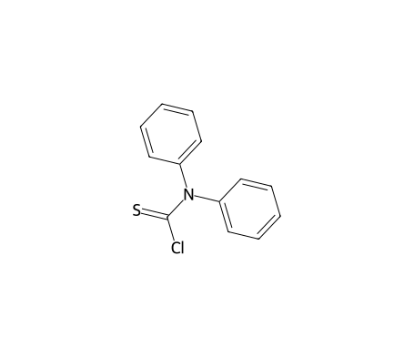 S=C(Cl)N(c1ccccc1)c1ccccc1